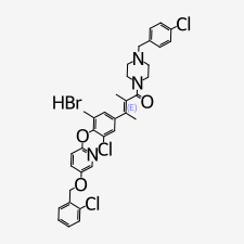 Br.C/C(C(=O)N1CCN(Cc2ccc(Cl)cc2)CC1)=C(/C)c1cc(C)c(Oc2ccc(OCc3ccccc3Cl)cn2)c(Cl)c1